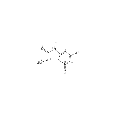 CN(C(=O)OC(C)(C)C)C1=CC(F)=C[N+](=O)C1